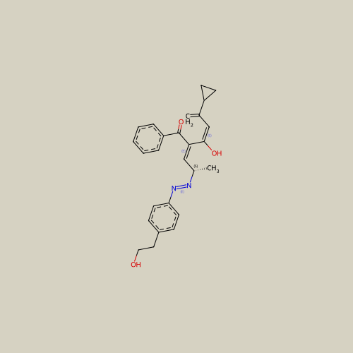 C=C(/C=C(O)\C(=C/[C@H](C)/N=N/c1ccc(CCO)cc1)C(=O)c1ccccc1)C1CC1